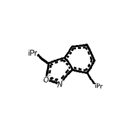 CC(C)c1onc2c(C(C)C)cccc12